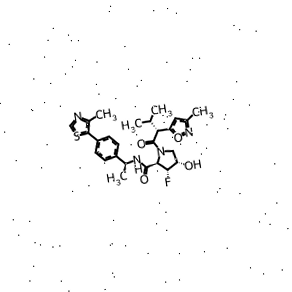 Cc1cc([C@H](C(=O)N2C[C@H](O)[C@H](F)[C@H]2C(=O)N[C@@H](C)c2ccc(-c3scnc3C)cc2)C(C)C)on1